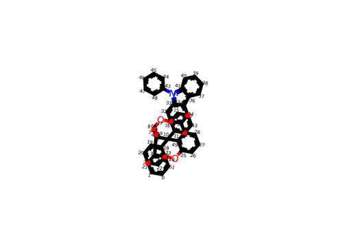 c1ccc(-c2cccc3c2C2(c4ccccc4O3)c3ccccc3Oc3cccc(-c4ccc5c(c4)c4ccccc4n5-c4ccccc4)c32)cc1